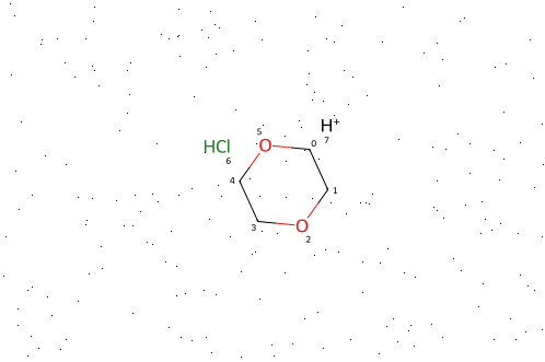 C1COCCO1.Cl.[H+]